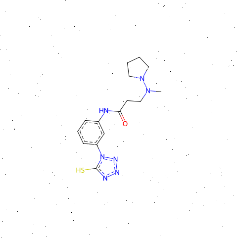 CN(CCC(=O)Nc1cccc(-n2nnnc2S)c1)N1CCCC1